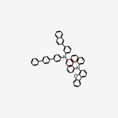 c1ccc(-c2ccc(-c3ccc(N(c4cccc(-c5ccc6ccccc6c5)c4)c4cccc(-c5ccccc5N(c5ccccc5-c5ccccc5)c5cccc6c5oc5ccccc56)c4)cc3)cc2)cc1